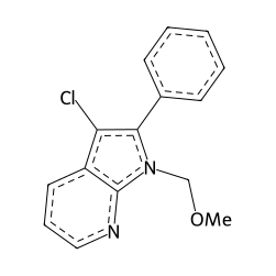 COCn1c(-c2ccccc2)c(Cl)c2cccnc21